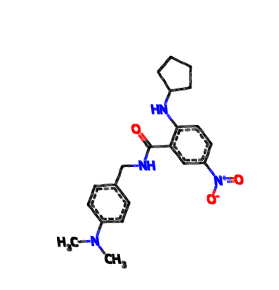 CN(C)c1ccc(CNC(=O)c2cc([N+](=O)[O-])ccc2NC2CCCC2)cc1